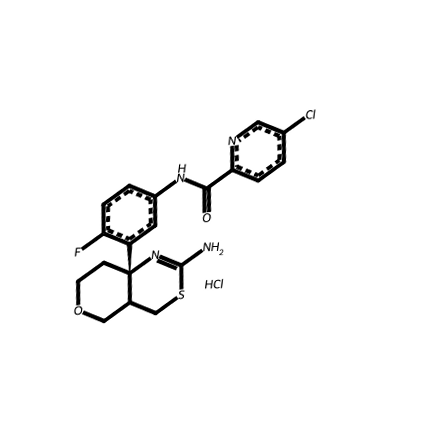 Cl.NC1=N[C@@]2(c3cc(NC(=O)c4ccc(Cl)cn4)ccc3F)CCOCC2CS1